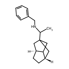 CC(NCc1ccccc1)C12CC3[C@@H](CC[C@H]3C1)C2